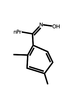 CCC/C(=N/O)c1ccc(C)cc1C